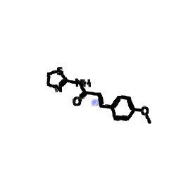 COc1ccc(/C=C/C(=O)NC2=NCCS2)cc1